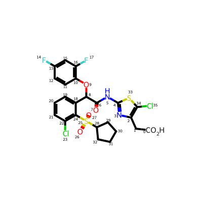 O=C(O)Cc1nc(NC(=O)C(Oc2ccc(F)cc2F)c2cccc(Cl)c2S(=O)(=O)C2CCCC2)sc1Cl